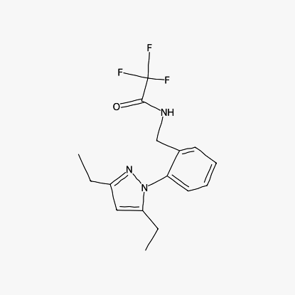 CCc1cc(CC)n(-c2ccccc2CNC(=O)C(F)(F)F)n1